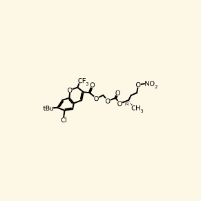 C[C@@H](CCO[N+](=O)[O-])OC(=O)OCOC(=O)C1=Cc2cc(Cl)c(C(C)(C)C)cc2OC1C(F)(F)F